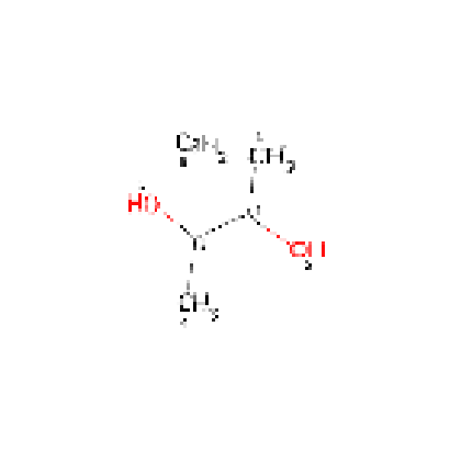 CC(O)C(C)O.[CaH2]